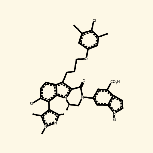 CCn1ccc2c(C(=O)O)cc(N3C[C@@H](C)n4c(c(CCCOc5cc(C)c(Cl)c(C)c5)c5ccc(Cl)c(-c6c(C)nn(C)c6C)c54)C3=O)cc21